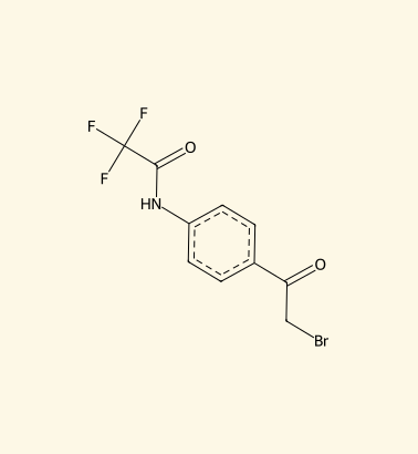 O=C(CBr)c1ccc(NC(=O)C(F)(F)F)cc1